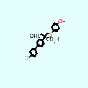 O=CCC(CSc1ccc(O)cc1)(C(=O)O)c1ccc(-c2ccc(Cl)cc2)cc1